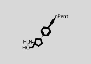 CCCCCC#Cc1ccc([C@@H]2CC[C@](N)(CO)C2)cc1